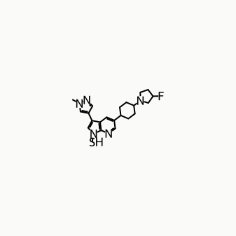 Cn1cc(-c2cn(S)c3ncc(C4CCC(N5CCC(F)C5)CC4)cc23)cn1